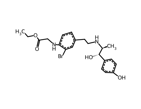 CCOC(=O)CNc1ccc(CCN[C@@H](C)[C@@H](O)c2ccc(O)cc2)cc1Br